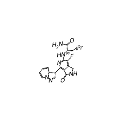 CC(C)C[C@@H](Nc1nc(C2C=NN3C=CC=CC23)c2c(c1F)CNC2=O)C(N)=O